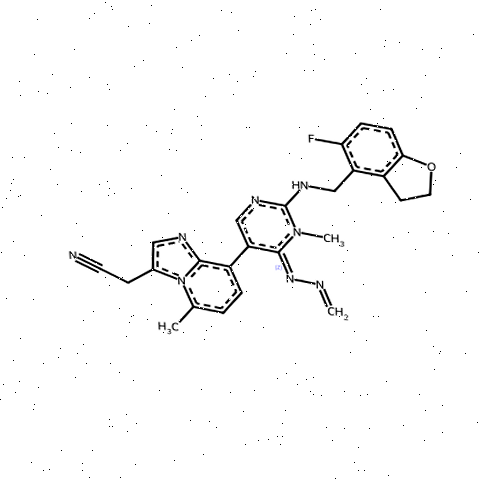 C=N/N=c1/c(-c2ccc(C)n3c(CC#N)cnc23)cnc(NCc2c(F)ccc3c2CCO3)n1C